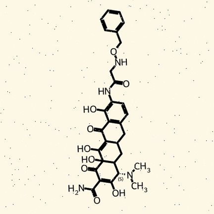 CN(C)[C@@H]1C(O)=C(C(N)=O)C(=O)C2(O)C(O)=C3C(=O)c4c(ccc(NC(=O)CNOCc5ccccc5)c4O)CC3CC12